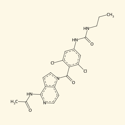 CCCNC(=O)Nc1cc(Cl)c(C(=O)n2ccc3c(NC(C)=O)nccc32)c(Cl)c1